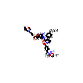 COC1CCC([C@@H]2CCN(C(=O)[C@H]3CC[C@H]([C@@H](CF)NC(=O)OC(C)(C)C)CC3)[C@@H]2C(=O)Nc2ccc3oc(C(=O)OCCCN4CCOC(C)(C)C4)cc3c2)CC1